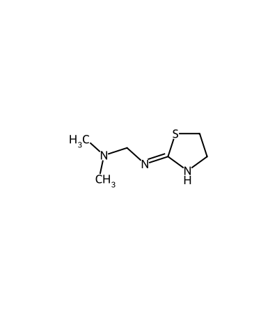 CN(C)CN=C1NCCS1